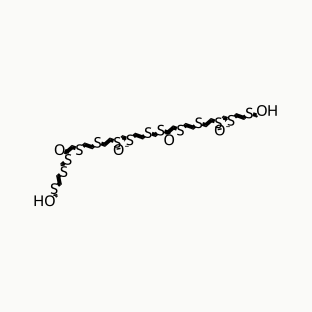 O=C(CSCCSCC[S+]([O-])CSCCSCSC(=O)CSCCSCC[S+]([O-])CSCCSCO)SCSCCSCO